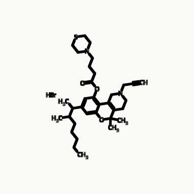 Br.C#CCN1CCC2=C(C1)c1c(OC(=O)CCCN3CCSCC3)cc(C(C)C(C)CCCCC)cc1OC2(C)C